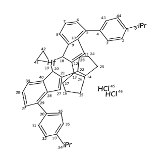 CC(C)c1ccc(-c2cccc3c2C=C(C2CCCC2)[CH]3[Hf]2([CH]3C(C4CCCC4)=Cc4c(-c5ccc(C(C)C)cc5)cccc43)[CH2][CH2]2)cc1.Cl.Cl